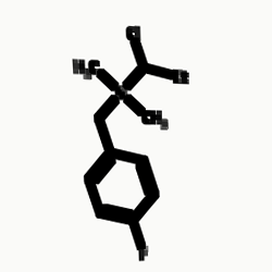 CCC(Cl)[Si](C)(C)Cc1ccc(F)cc1